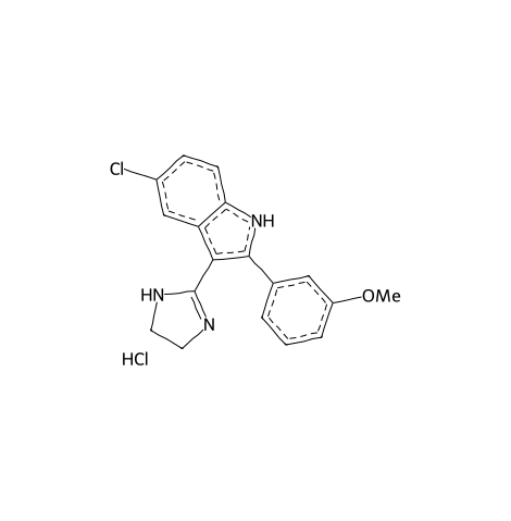 COc1cccc(-c2[nH]c3ccc(Cl)cc3c2C2=NCCN2)c1.Cl